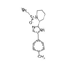 Cc1ccc(-c2cnc(C3CCCCN3[S+]([O-])C(C)C)[nH]2)cc1